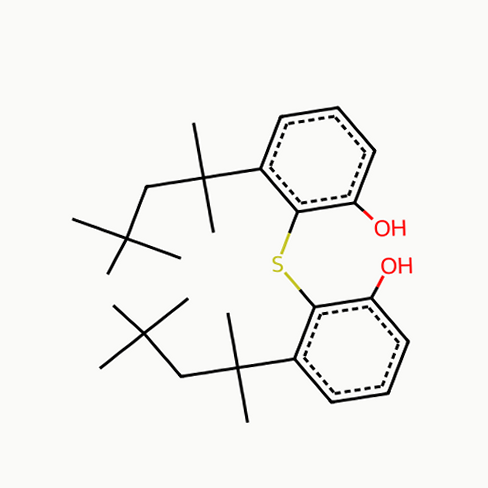 CC(C)(C)CC(C)(C)c1cccc(O)c1Sc1c(O)cccc1C(C)(C)CC(C)(C)C